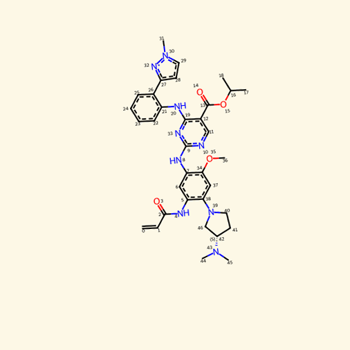 C=CC(=O)Nc1cc(Nc2ncc(C(=O)OC(C)C)c(Nc3ccccc3-c3ccn(C)n3)n2)c(OC)cc1N1CC[C@H](N(C)C)C1